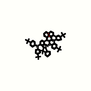 CC(C)(C)c1ccc(N(c2ccc(C(C)(C)C)cc2)c2ccc3c4c2c2c(n4B4c5ccc(C(C)(C)C)cc5N(c5ccc(C(C)(C)C)cc5-c5ccccc5)c5cc6ccccc6c-3c54)-c3ccccc3C2(C)C)cc1